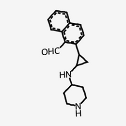 O=Cc1c(C2CC2NC2CCNCC2)ccc2ccccc12